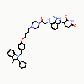 Cc1c(-c2ccccc2)n(Cc2ccc(OCCCCN3CCN(C(=O)CNc4cccc5c(C6CCC(=O)NC6=O)nn(C)c45)CC3)cc2)c2ccccc12